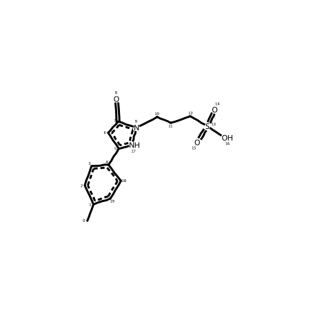 Cc1ccc(-c2cc(=O)n(CCCS(=O)(=O)O)[nH]2)cc1